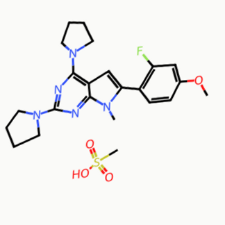 COc1ccc(-c2cc3c(N4CCCC4)nc(N4CCCC4)nc3n2C)c(F)c1.CS(=O)(=O)O